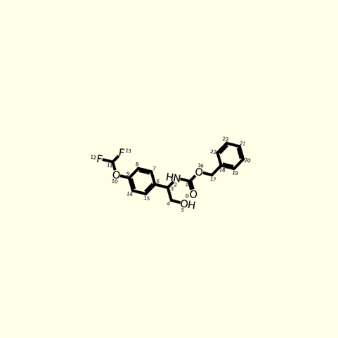 O=C(NC(CO)c1ccc(OC(F)F)cc1)OCc1ccccc1